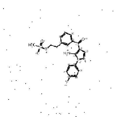 CS(=O)(=O)OCCc1cccc(C(=O)c2cnn(-c3ccc(F)cc3)c2N)c1